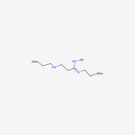 CCCCCCCCCCCC/N=C(/CCNCCCCCCCCCCCC)NC(C)C